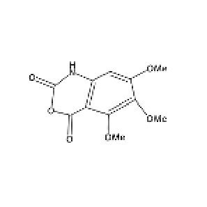 COc1cc2[nH]c(=O)oc(=O)c2c(OC)c1OC